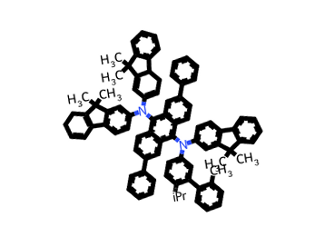 Cc1ccccc1-c1cc(N(c2ccc3c(c2)C(C)(C)c2ccccc2-3)c2c3ccc(-c4ccccc4)cc3c(N(C3=CCC4C(=C3)C(C)(C)c3ccccc34)c3ccc4c(c3)C(C)(C)C3=C4C=CCC3)c3ccc(-c4ccccc4)cc23)ccc1C(C)C